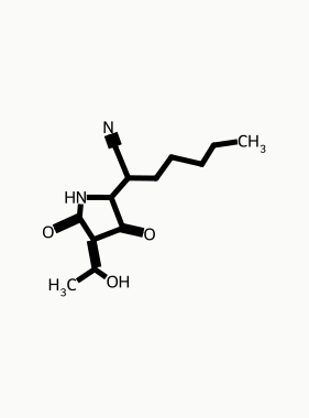 CCCCCC(C#N)C1NC(=O)C(=C(C)O)C1=O